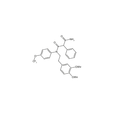 COc1ccc(CCN(C(=O)C(C(N)=O)c2ccccc2)c2ccc(OC(F)(F)F)cc2)cc1OC